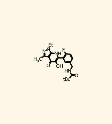 CCn1nc(C)c2c(=O)c(O)c(-c3cc(CNC(=O)C(C)(C)C)ccc3F)[nH]c21